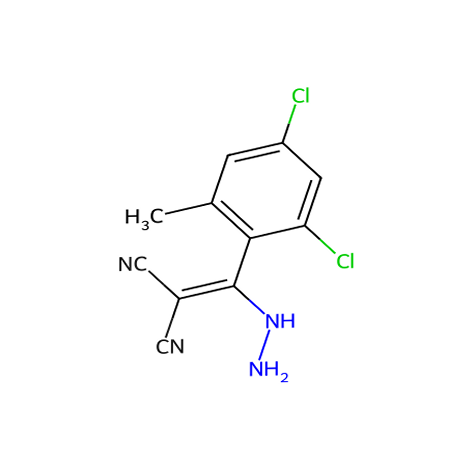 Cc1cc(Cl)cc(Cl)c1C(NN)=C(C#N)C#N